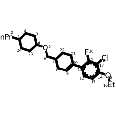 CCCC1CCC(OCC2CC=C(c3ccc(OCC)c(Cl)c3F)CC2)CC1